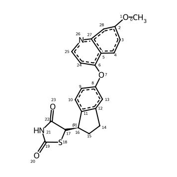 COc1ccc2c(Oc3ccc4c(c3)CC[C@H]4C3SC(=O)NC3=O)ccnc2c1